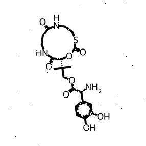 CC(C)(COC(=O)[C@@H](N)c1ccc(O)c(O)c1)[C@H]1OC(=O)SCCNC(=O)CCNC1=O